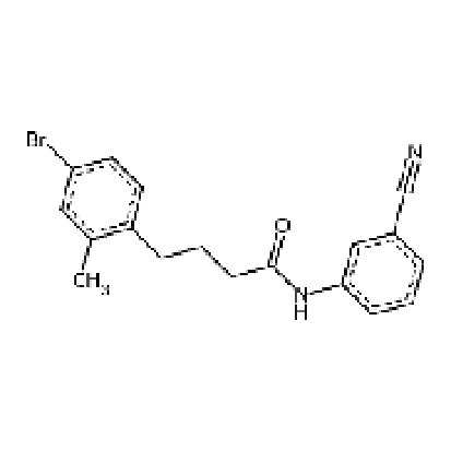 Cc1cc(Br)ccc1CCCC(=O)Nc1cccc(C#N)c1